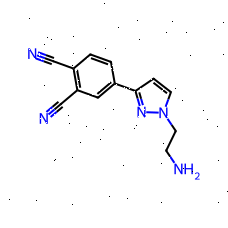 N#Cc1ccc(-c2ccn(CCN)n2)cc1C#N